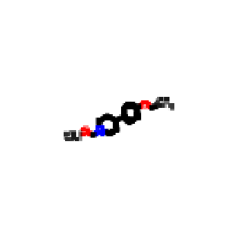 CC(C)(C)OCN1CCC(c2ccc(OCC(F)(F)F)cc2)CC1